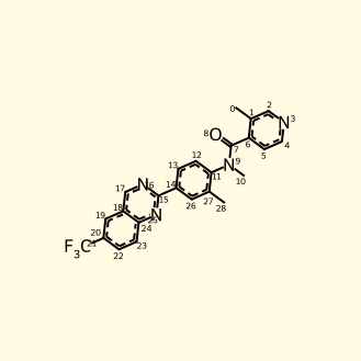 Cc1cnccc1C(=O)N(C)c1ccc(-c2ncc3cc(C(F)(F)F)ccc3n2)cc1C